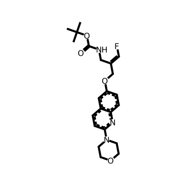 CC(C)(C)OC(=O)NC/C(=C\F)COc1ccc2nc(N3CCOCC3)ccc2c1